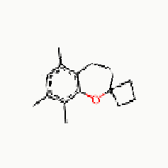 Cc1[c]c(C)c2c(c1C)OC1(CCC1)CC2